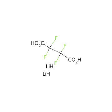 O=C(O)C(F)(F)C(F)(F)C(=O)O.[LiH].[LiH]